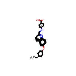 CC[C@H]1CC[C@@H](Oc2ccc3nc(CNC45CCC(C(=O)O)(CC4)CC5)ccc3c2)CC1